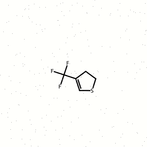 FC(F)(F)C1=CSCC1